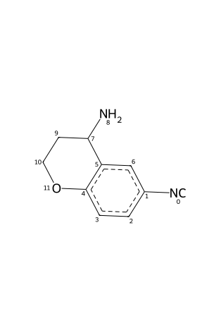 [C-]#[N+]c1ccc2c(c1)C(N)CCO2